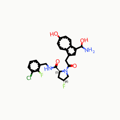 NC(O)c1cc(CC(=O)N2C[C@H](F)C[C@H]2C(=O)NCc2cccc(Cl)c2F)c2ccc(O)ccc1-2